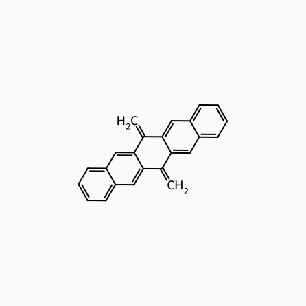 C=c1c2cc3ccccc3cc2c(=C)c2cc3ccccc3cc12